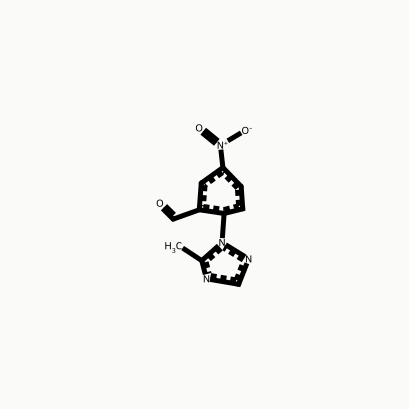 Cc1ncnn1-c1ccc([N+](=O)[O-])cc1C=O